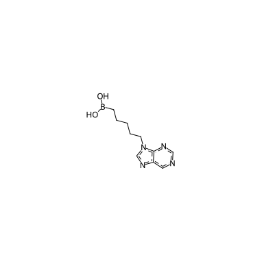 OB(O)CCCCCn1cnc2cncnc21